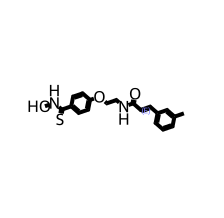 Cc1cccc(/C=C/C(=O)NCCOc2ccc(C(=S)NO)cc2)c1